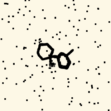 [CH2]CCC1(c2cccc(C)c2)CCCCC1